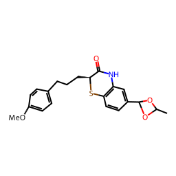 COc1ccc(CCC[C@@H]2Sc3ccc(C4OC(C)O4)cc3NC2=O)cc1